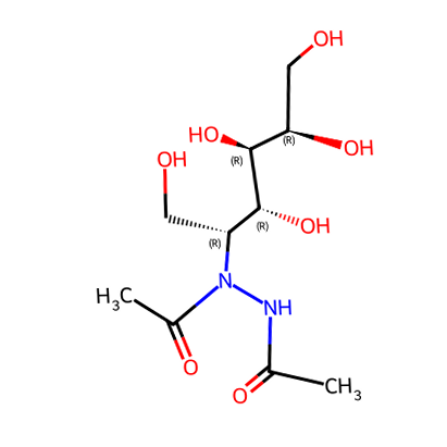 CC(=O)NN(C(C)=O)[C@H](CO)[C@@H](O)[C@@H](O)[C@H](O)CO